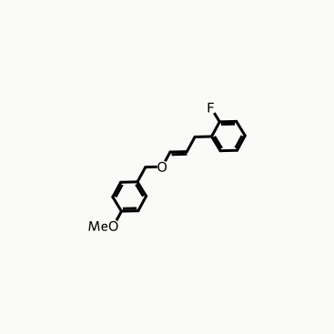 COc1ccc(COC=CCc2ccccc2F)cc1